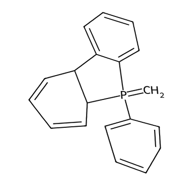 C=P1(c2ccccc2)c2ccccc2C2C=CC=CC21